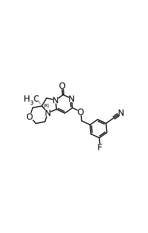 C[C@@]12COCCN1c1cc(OCc3cc(F)cc(C#N)c3)nc(=O)n1C2